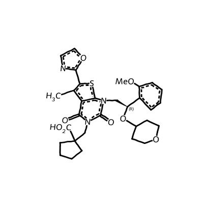 COc1ccccc1[C@H](Cn1c(=O)n(CC2(C(=O)O)CCCC2)c(=O)c2c(C)c(-c3ncco3)sc21)OC1CCOCC1